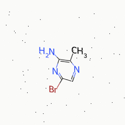 Cc1ncc(Br)nc1N